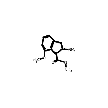 COC(=O)C1c2c(cccc2OC)CC1N